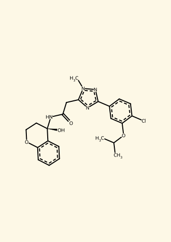 CC(C)Oc1cc(-c2nc(CC(=O)N[C@@]3(O)CCOc4ccccc43)n(C)n2)ccc1Cl